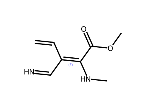 C=C/C(C=N)=C(/NC)C(=O)OC